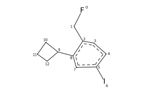 FCc1ccc(I)cc1C1CCC1